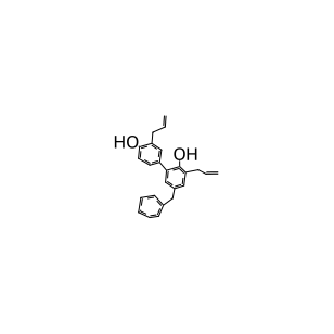 C=CCc1cc(-c2cc(Cc3ccccc3)cc(CC=C)c2O)ccc1O